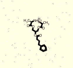 C[C@@H](N)C(=O)OCC(COC(=O)[C@@H](C)N)OC(=O)CCCc1ccccc1